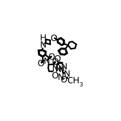 Cc1nc(-c2ncc(Oc3ccc(C4(c5ccc(O[C@H]6C[C@H](Nc7ccc8c(c7)C(=O)N(C7CCC(=O)NC7=O)C8=O)C6)cc5)CCCCC4)cc3)cn2)no1